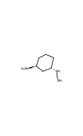 CC(=O)N[C@H]1CCC[C@H](NC(C)(C)C)C1